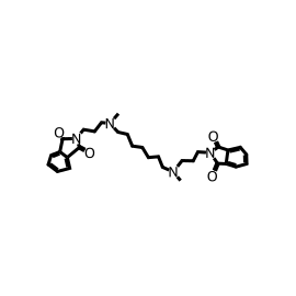 CN(CCCCCCCN(C)CCCN1C(=O)c2ccccc2C1=O)CCCN1C(=O)c2ccccc2C1=O